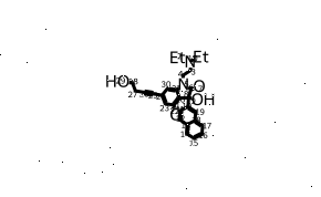 CCN(CC)CCN1C(=O)C(O)(c2ccc3ccccc3c2)c2c(Cl)cc(C#CCCO)cc21